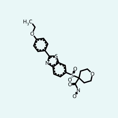 CCOc1ccc(-c2nc3ccc(S(=O)(=O)C4(C(=O)N=O)CCOCC4)cc3s2)cc1